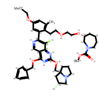 COCOc1cc(C)c(CCOCCO[C@@H]2CCCCN(C(=O)OC(C)(C)C)C2)c(-c2ncc3c(OCc4ccccc4)nc(OC[C@@]45CCCN4C[C@H](F)C5)nc3c2F)c1